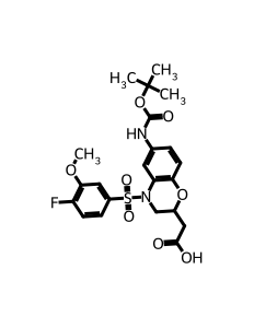 COc1cc(S(=O)(=O)N2CC(CC(=O)O)Oc3ccc(NC(=O)OC(C)(C)C)cc32)ccc1F